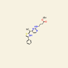 CC(C)(C)OC(=O)CCCNc1nccc(C(C#N)=C2NC(c3ccccc3)=CS2)n1